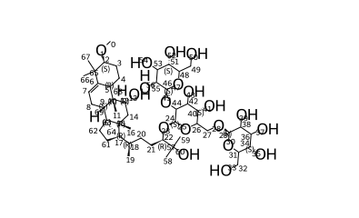 CO[C@H]1CC[C@@H]2C(=CC[C@@H]3[C@@]2(C)[C@H](O)C[C@]2(C)[C@@H]([C@H](C)CC[C@@H](O[C@@H]4OC(CO[C@@H]5OC(CO)[C@@H](O)C(O)C5O)[C@@H](O)C(O)C4O[C@@H]4OC(CO)[C@@H](O)C(O)C4O)C(C)(C)O)CC[C@@]32C)C1(C)C